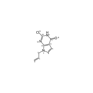 C=CCn1ccc2c(=O)[nH]c(Cl)nc21